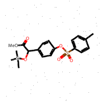 COC(=O)C(O[Si](C)(C)C)c1ccc(OS(=O)(=O)c2ccc(C)cc2)cc1